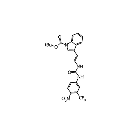 CC(C)(C)OC(=O)n1cc(/C=C/NC(=O)Nc2ccc([N+](=O)[O-])c(C(F)(F)F)c2)c2ccccc21